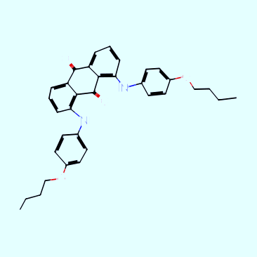 CCCCOc1ccc(Nc2cccc3c2C(=O)c2c(Nc4ccc(OCCCC)cc4)cccc2C3=O)cc1